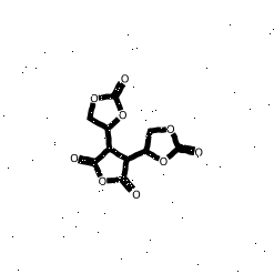 O=C1OCC(C2C(=O)OC(=O)C2C2COC(=O)O2)O1